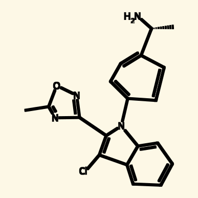 Cc1nc(-c2c(Cl)c3ccccc3n2-c2ccc([C@@H](C)N)cc2)no1